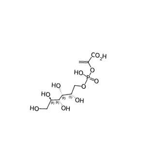 C=C(OP(=O)(O)OC[C@H](O)[C@@H](O)[C@H](O)[C@H](O)CO)C(=O)O